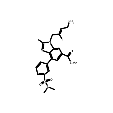 COC(=O)c1cc(-c2cccc(S(=O)(=O)N(C)C)c2)c2nc(C)n(C/C(F)=C/CN)c2c1